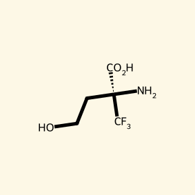 N[C@@](CCO)(C(=O)O)C(F)(F)F